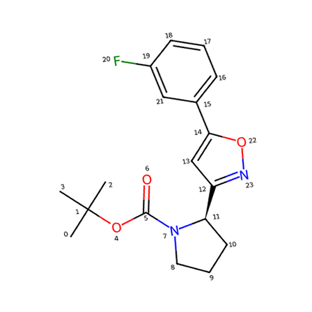 CC(C)(C)OC(=O)N1CCC[C@@H]1c1cc(-c2cccc(F)c2)on1